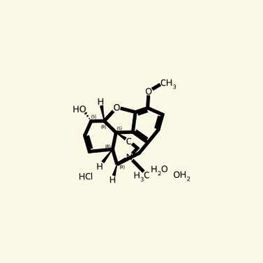 COc1ccc2c3c1O[C@H]1[C@@H](O)C=C[C@H]4[C@@H](C2)N(C)CC[C@@]341.Cl.O.O